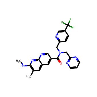 CNc1nc2ncc(C(=O)N(Cc3ccc(C(F)(F)F)cn3)Cc3ncccn3)cc2cc1C